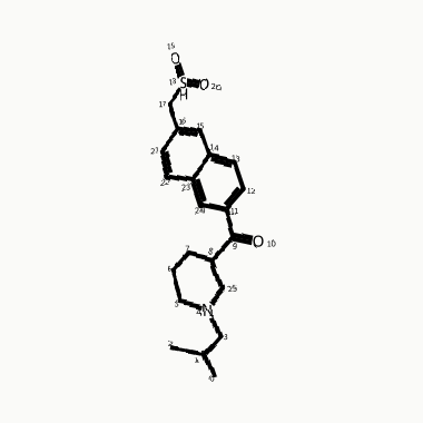 C[C](C)CN1CCCC(C(=O)c2ccc3cc(C[SH](=O)=O)ccc3c2)C1